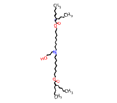 CCCCCC(=CC(=O)OCCCCCCCCCN(CCCO)CCCCCCCCCOC(=O)/C=C(\CCCC)CCCCC)CCCC